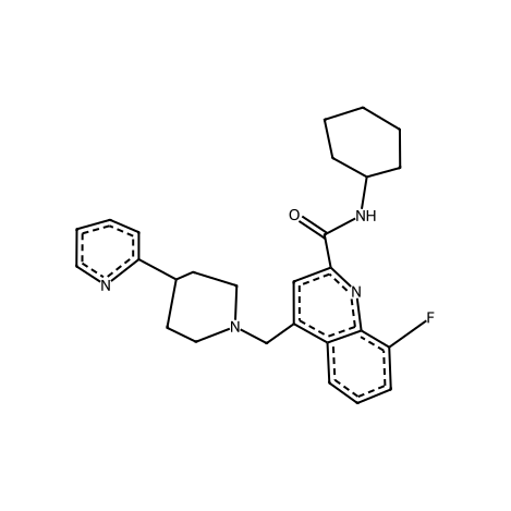 O=C(NC1CCCCC1)c1cc(CN2CCC(c3ccccn3)CC2)c2cccc(F)c2n1